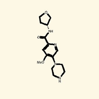 COc1cc(C(=O)N[C@@H]2CCOC2)ncc1N1CCNCC1